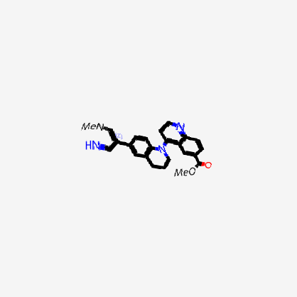 CN/C=C(\C=N)c1ccc2c(c1)CCCN2c1ccnc2ccc(C(=O)OC)cc12